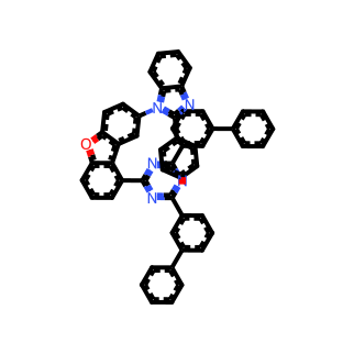 c1ccc(-c2cccc(-c3nc(-c4cccc(-c5ccccc5)c4)nc(-c4cccc5oc6ccc(-n7c(-c8ccccc8)nc8ccccc87)cc6c45)n3)c2)cc1